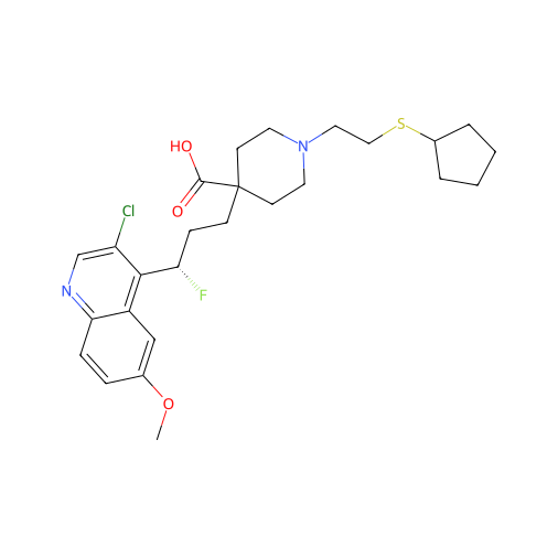 COc1ccc2ncc(Cl)c([C@@H](F)CCC3(C(=O)O)CCN(CCSC4CCCC4)CC3)c2c1